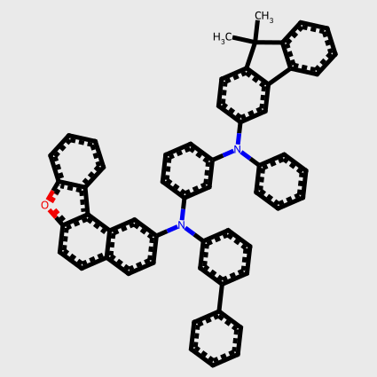 CC1(C)c2ccccc2-c2cc(N(c3ccccc3)c3cccc(N(c4cccc(-c5ccccc5)c4)c4ccc5ccc6oc7ccccc7c6c5c4)c3)ccc21